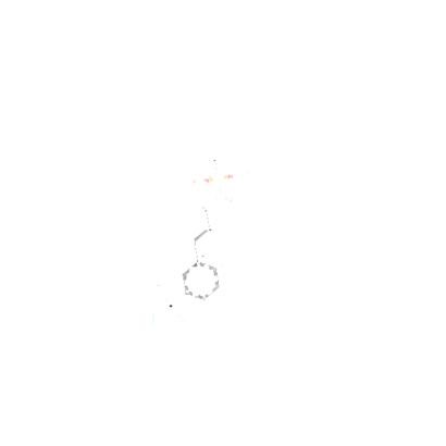 CS(=O)(=O)OC/C=C/c1cccc(C(F)(F)F)c1